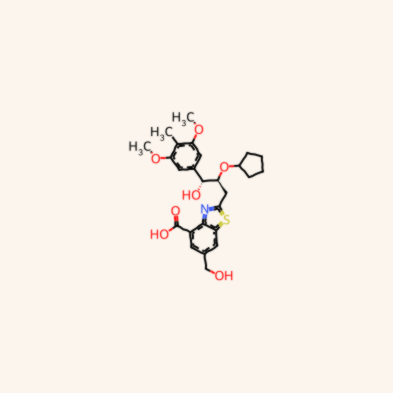 COc1cc([C@@H](O)[C@H](Cc2nc3c(C(=O)O)cc(CO)cc3s2)OC2CCCC2)cc(OC)c1C